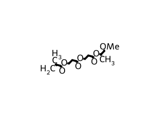 C=C(C)C(=O)OCCC(=O)OCCC(=O)OC(C)COC